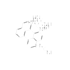 N=C=N.N=C=N.N=C=N.N=C=N.c1cc2cccc3c4cccc5cccc(c(c1)c23)c54